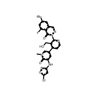 CCc1cc(Nc2cc(-c3ccnc(-n4ncc5cc(C(C)(C)C)cc(F)c5c4=O)c3CO)cn(C)c2=O)no1